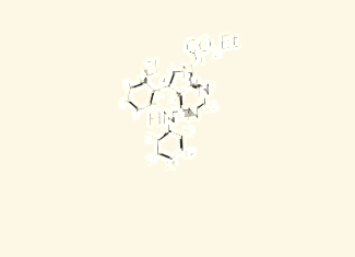 CCOC(=O)Cn1cc(-c2ccccc2Cl)c2c(Nc3ccccc3)ncnc21